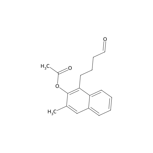 CC(=O)Oc1c(C)cc2ccccc2c1CCCC=O